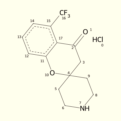 Cl.O=C1CC2(CCNCC2)Oc2cccc(C(F)(F)F)c21